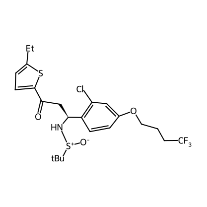 CCc1ccc(C(=O)C[C@H](N[S+]([O-])C(C)(C)C)c2ccc(OCCCC(F)(F)F)cc2Cl)s1